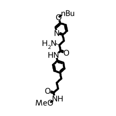 CCCCOc1ccc(C[C@@H](N)C(=O)Nc2ccc(CCCC(=O)NOC)cc2)nc1